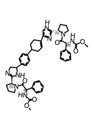 COC(=O)N[C@@H](C(=O)N1CCC[C@H]1C1=NCC(c2ccc(C3CC=C(c4c[nH]c([C@@H]5CCCN5C(=O)[C@H](NC(=O)OC)c5ccccc5)n4)CC3)cc2)N1)c1ccccc1